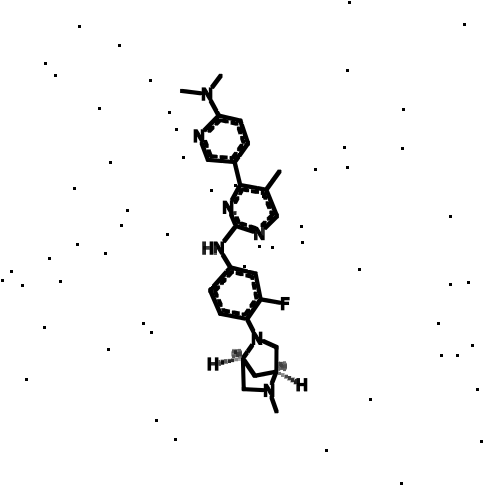 Cc1cnc(Nc2ccc(N3C[C@@H]4C[C@H]3CN4C)c(F)c2)nc1-c1ccc(N(C)C)nc1